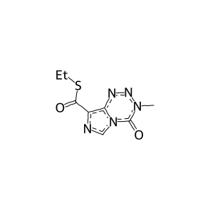 CCSC(=O)c1ncn2c(=O)n(C)nnc12